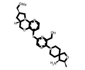 COC[C@@H]1C[C@H]2COc3c(Sc4cnc(N5CCC6(CC5)CO[C@@H](C)[C@H]6N)c(CO)n4)ccnc3N2C1